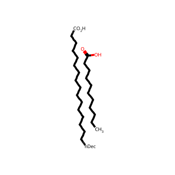 CCCCCCCCCCC(=O)O.CCCCCCCCCCCCCCCCCCCCCCCCCC(=O)O